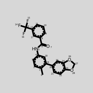 Cc1ccc(NC(=O)c2cccc(C(F)(F)F)c2)cc1-c1ccc2c(c1)OCO2